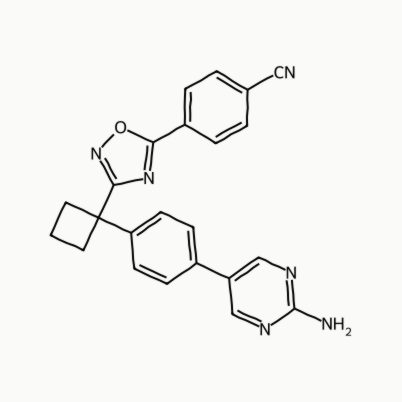 N#Cc1ccc(-c2nc(C3(c4ccc(-c5cnc(N)nc5)cc4)CCC3)no2)cc1